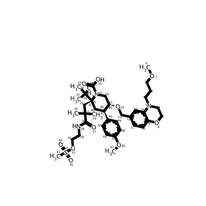 COCCCN1CCOc2ccc(CO[C@H]3CN(C(=O)O)[C@@](CC(C)(C)C(=O)NCCOS(C)(=O)=O)(C(C)(C)C)C[C@@H]3c3ccc(OC)cc3)cc21